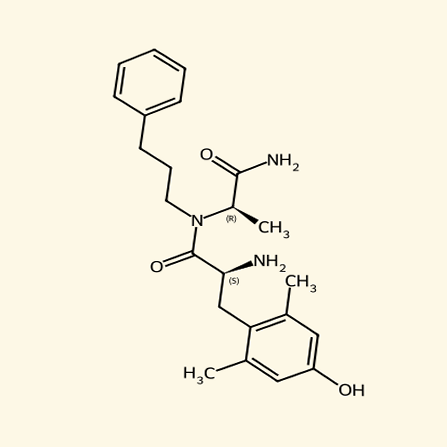 Cc1cc(O)cc(C)c1C[C@H](N)C(=O)N(CCCc1ccccc1)[C@H](C)C(N)=O